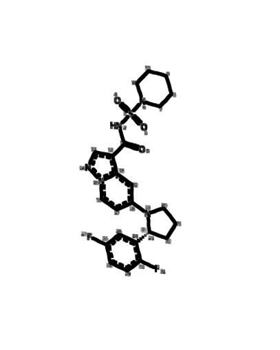 O=C(NS(=O)(=O)N1CCCCC1)c1cnn2ccc(N3CCC[C@@H]3c3cc(F)ccc3F)cc12